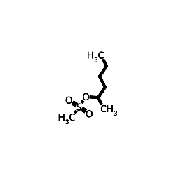 CCCCC(C)OS(C)(=O)=O